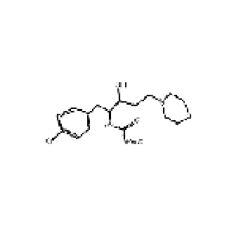 CCCCCC(=O)NC(Cc1ccc(Cl)cc1)C(O)CCN1CCOCC1